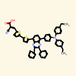 CCc1ccc(N(c2ccc(CC)cc2)c2ccc(-c3ccc(-c4ccc(-c5ccc(/C=C(\C#N)C(=O)O)s5)s4)c4nc(-c5ccccc5)c(-c5ccccc5)nc34)cc2)cc1